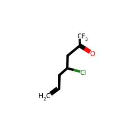 C=CCC(Cl)CC(=O)C(F)(F)F